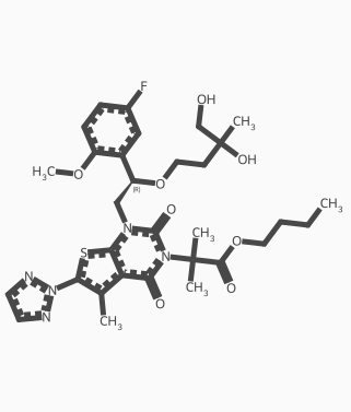 CCCCOC(=O)C(C)(C)n1c(=O)c2c(C)c(-n3nccn3)sc2n(C[C@H](OCCC(C)(O)CO)c2cc(F)ccc2OC)c1=O